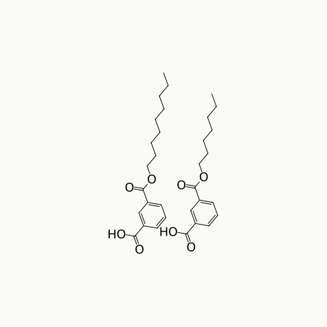 CCCCCCCCCOC(=O)c1cccc(C(=O)O)c1.CCCCCCCOC(=O)c1cccc(C(=O)O)c1